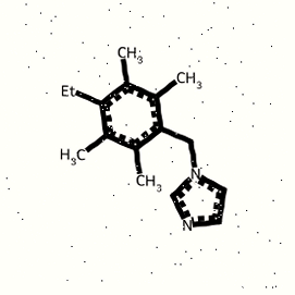 CCc1c(C)c(C)c(Cn2ccnc2)c(C)c1C